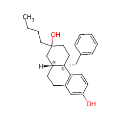 CCCCC1(O)CC[C@@]2(Cc3ccccc3)c3ccc(O)cc3CC[C@@H]2C1